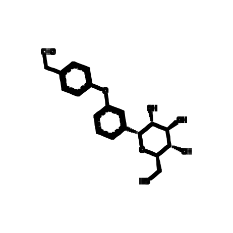 O=CCc1ccc(Oc2cccc([C@H]3O[C@H](CO)[C@@H](O)[C@H](O)[C@H]3O)c2)cc1